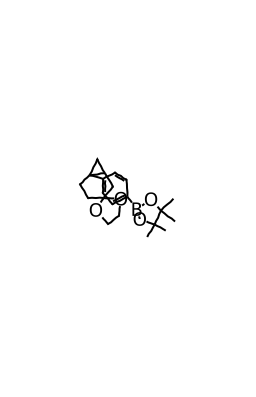 CC1(C)OB(c2ccc(C34CCC5(CC3C4)OCCO5)cc2)OC1(C)C